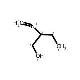 C=NC(CC)CO